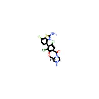 Nc1nc2c(-c3c(Cl)cc4c(c3Cl)OC[C@@H]3CNCCN3C4=O)ccc(F)c2s1